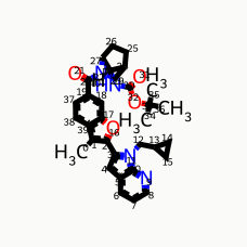 Cc1c(-c2cc3cccnc3n2CC2CC2)oc2cc(C(=O)N3CC4CCC3[C@@H]4NC(=O)OC(C)(C)C)ccc12